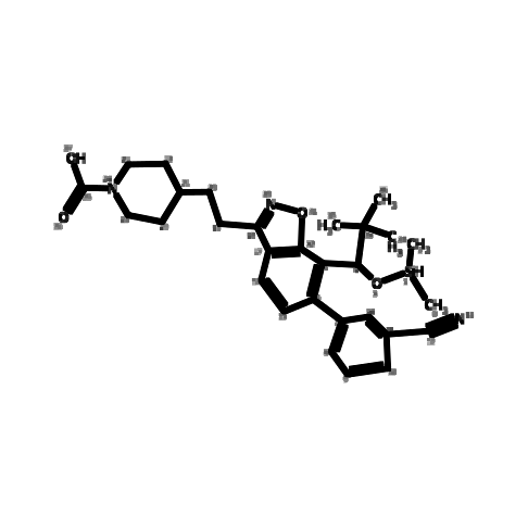 C[SiH](C)OC(c1c(-c2cccc(C#N)c2)ccc2c(CCC3CCN(C(=O)O)CC3)noc12)C(C)(C)C